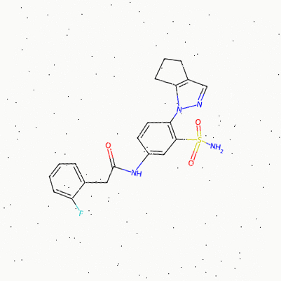 NS(=O)(=O)c1cc(NC(=O)Cc2ccccc2F)ccc1-n1ncc2c1CCC2